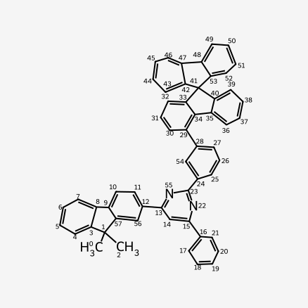 CC1(C)c2ccccc2-c2ccc(-c3cc(-c4ccccc4)nc(-c4cccc(-c5cccc6c5-c5ccccc5C65c6ccccc6-c6ccccc65)c4)n3)cc21